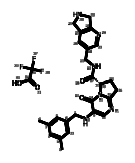 Cc1cc(C)cc(CNc2cnc3n(c2=O)[C@H](C(=O)NCc2cnc4c(c2)CNC4)CC3)c1.O=C(O)C(F)(F)F